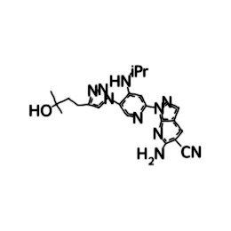 CC(C)Nc1cc(-n2ncc3cc(C#N)c(N)nc32)ncc1-n1cc(CCC(C)(C)O)nn1